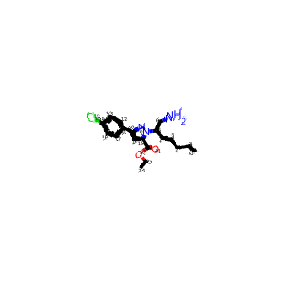 CCCCCC(CN)n1nc(-c2ccc(Cl)cc2)cc1C(=O)OCC